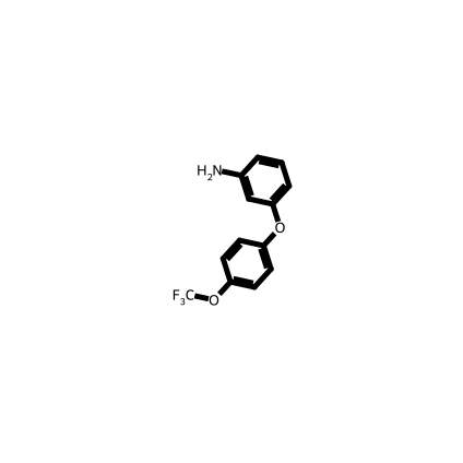 Nc1cccc(Oc2ccc(OC(F)(F)F)cc2)c1